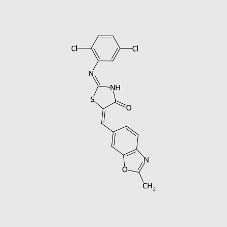 Cc1nc2ccc(C=C3SC(=Nc4cc(Cl)ccc4Cl)NC3=O)cc2o1